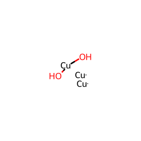 [Cu].[Cu].[OH][Cu][OH]